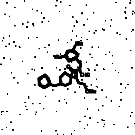 COCCNC1(C(=O)N(C=O)Cc2cc(C(C)(C)C)cc(C(C)(C)C)c2)CCN(Cc2ccccc2)CC1